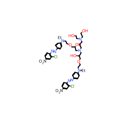 CCN(CCOCC(O)CN(CCCN(CCO)CCO)CC(O)COCCN(CC)c1ccc(/N=N/c2ccc([N+](=O)[O-])cc2Cl)cc1)c1ccc(/N=N/c2ccc([N+](=O)[O-])cc2Cl)cc1